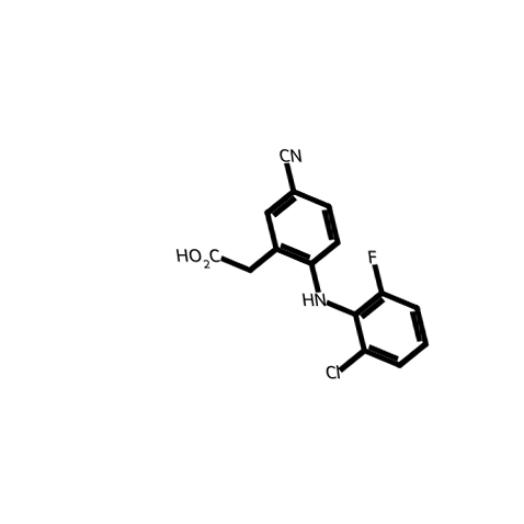 N#Cc1ccc(Nc2c(F)cccc2Cl)c(CC(=O)O)c1